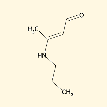 CCCNC(C)=CC=O